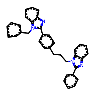 c1ccc(Cn2c(-c3ccc(CCCn4c(-c5ccccc5)nc5ccccc54)cc3)nc3ccccc32)cc1